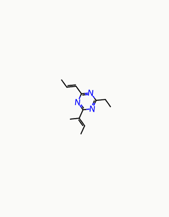 C/C=C/c1nc(CC)nc(/C(C)=C/C)n1